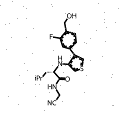 CC(C)C[C@H](Nc1cscc1-c1ccc(CO)c(F)c1)C(=O)NCC#N